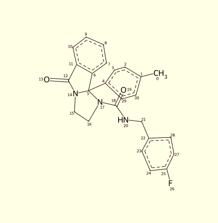 Cc1ccc(C23c4ccccc4C(=O)N2CCN3C(=O)NCc2ccc(F)cc2)cc1